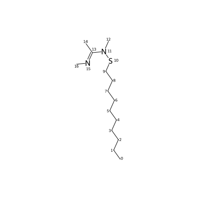 CCCCCCCCCCSN(C)C(C)=NC